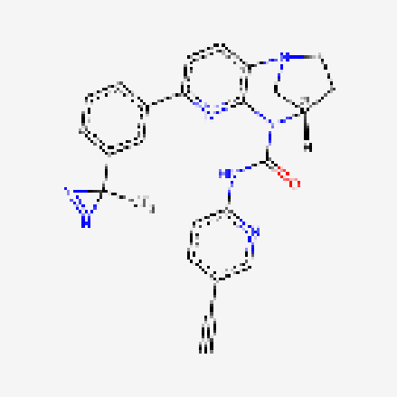 C#Cc1ccc(NC(=O)N2c3nc(-c4cccc(C5(C(F)(F)F)N=N5)c4)ccc3N3CC[C@H]2C3)nc1